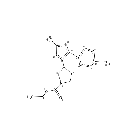 CCOC(=O)N1CCC(c2sc(C)nc2-c2ccc(C)cc2)C1